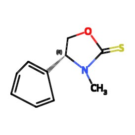 CN1C(=S)OC[C@H]1c1ccccc1